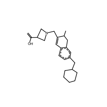 C=C(O)C1CN(CC2=Cc3ccc(CC4CCCCC4)cc3CC2C)C1